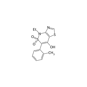 CCN1c2ncsc2C(O)=C(c2ccccc2C)S1(=O)=O